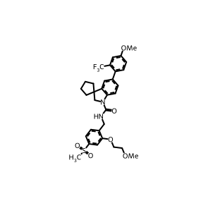 COCCOc1cc(S(C)(=O)=O)ccc1CNC(=O)N1CC2(CCCC2)c2cc(-c3ccc(OC)cc3C(F)(F)F)ccc21